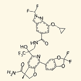 C[C@]1(C(N)=O)COc2c1cc(C(O)(CNC(=O)c1cc(OC3CC3)c3nn(C(F)F)cc3c1)C(F)(F)F)nc2-c1ccc2c(c1)OC(F)(F)O2